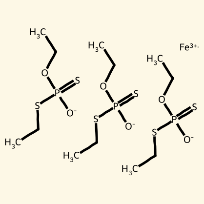 CCOP([O-])(=S)SCC.CCOP([O-])(=S)SCC.CCOP([O-])(=S)SCC.[Fe+3]